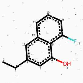 CCc1cc(O)c2c(F)cccc2c1